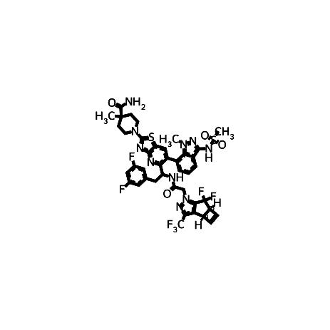 Cn1nc(NS(C)(=O)=O)c2cccc(-c3cc4sc(N5CCC(C)(C(N)=O)CC5)nc4nc3C(Cc3cc(F)cc(F)c3)NC(=O)Cn3nc(C(F)(F)F)c4c3C(F)(F)[C@@H]3C=C[C@H]43)c21